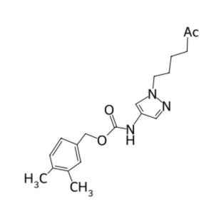 CC(=O)CCCCn1cc(NC(=O)OCc2ccc(C)c(C)c2)cn1